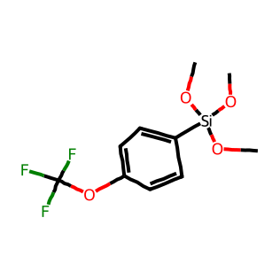 CO[Si](OC)(OC)c1ccc(OC(F)(F)F)cc1